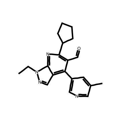 CCn1ncc2c(-c3cncc(C)c3)c(C=O)c(C3CCCC3)nc21